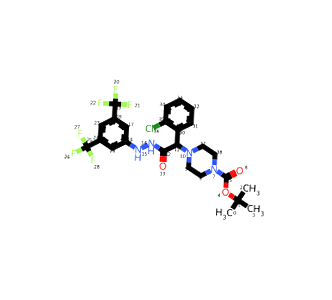 CC(C)(C)OC(=O)N1CCN(C(C(=O)NNc2cc(C(F)(F)F)cc(C(F)(F)F)c2)c2ccccc2Cl)CC1